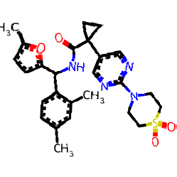 Cc1ccc(C(NC(=O)C2(c3cnc(N4CCS(=O)(=O)CC4)nc3)CC2)c2ccc(C)o2)c(C)c1